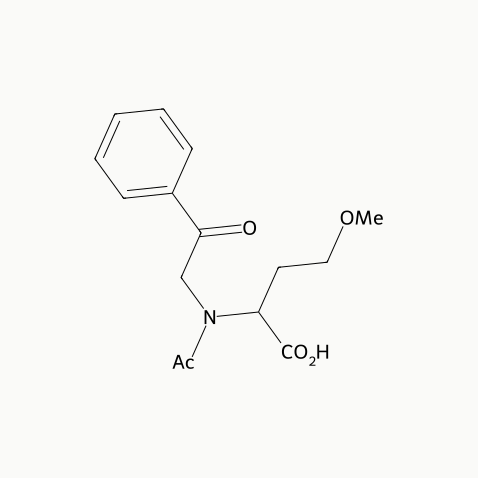 COCCC(C(=O)O)N(CC(=O)c1ccccc1)C(C)=O